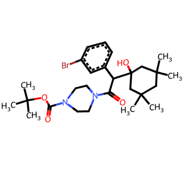 CC1(C)CC(C)(C)CC(O)(C(C(=O)N2CCN(C(=O)OC(C)(C)C)CC2)c2cccc(Br)c2)C1